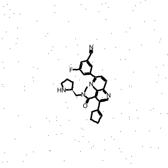 CN(C[C@@H]1CCCN1)C(=O)c1c(C2=CCCC2)cnc2ccc(-c3cc(F)cc(C#N)c3)nc12